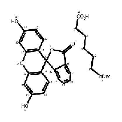 CCCCCCCCCCCCCCCC(=O)O.O=C1OC2(c3ccc(O)cc3Oc3cc(O)ccc32)c2ccccc21